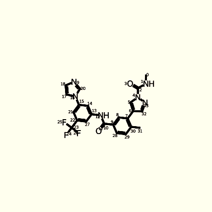 CNC(=O)n1cc(-c2cc(C(=O)Nc3cc(-n4ccnc4)cc(C(F)(F)F)c3)ccc2C)cn1